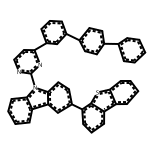 c1ccc(-c2ccc(-c3cccc(-c4ccnc(-n5c6ccccc6c6cc(-c7cccc8c7sc7ccccc78)ccc65)n4)c3)cc2)cc1